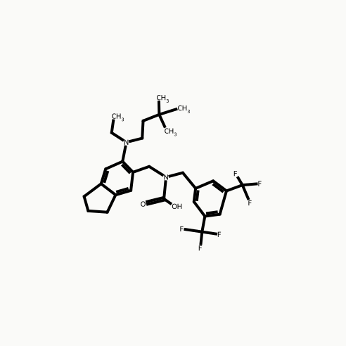 CCN(CCC(C)(C)C)c1cc2c(cc1CN(Cc1cc(C(F)(F)F)cc(C(F)(F)F)c1)C(=O)O)CCC2